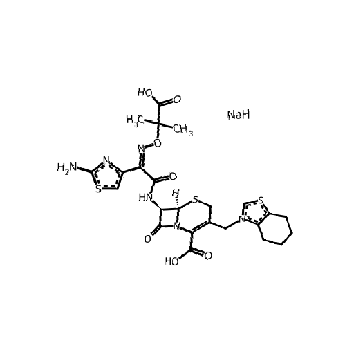 CC(C)(O/N=C(\C(=O)N[C@@H]1C(=O)N2C(C(=O)O)=C(C[n+]3csc4c3CCCC4)CS[C@H]12)c1csc(N)n1)C(=O)O.[NaH]